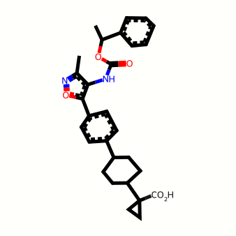 Cc1noc(-c2ccc(C3CCC(C4(C(=O)O)CC4)CC3)cc2)c1NC(=O)OC(C)c1ccccc1